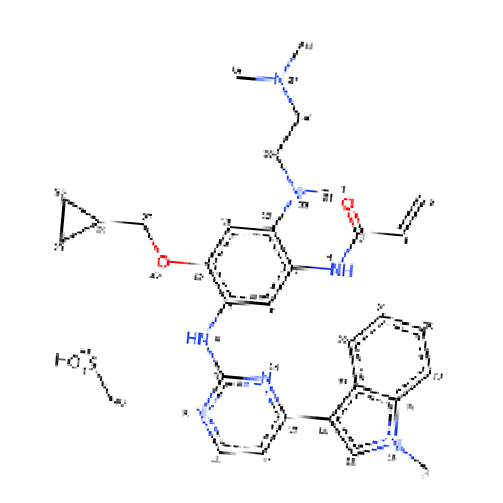 C=CC(=O)Nc1cc(Nc2nccc(-c3cn(C)c4ccccc34)n2)c(OCC2CC2)cc1N(C)CCN(C)C.CS(=O)(=O)O